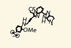 COc1cc(S(C)(=O)=O)ccc1NCC#Cc1nc2c(-c3nc4c([nH]3)CN(C)CC4)cccn2c1CC(F)(F)F